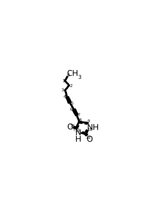 CCCCC#CC#Cc1c[nH]c(=O)[nH]c1=O